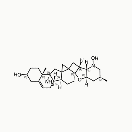 C[C@H]1C[C@H]2O[C@@]34CC[C@H]5[C@@H]6CC=C7C[C@@H](O)CC[C@]7(C)[C@@]6(N)CC56CC63C[C@@H]4[C@@H]2N(O)C1